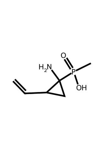 C=CC1CC1(N)P(C)(=O)O